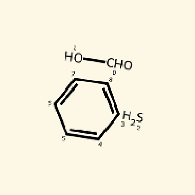 O=CO.S.c1ccccc1